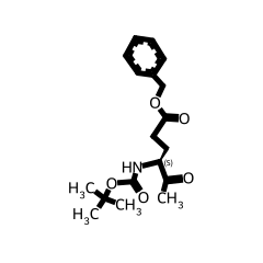 CC(=O)[C@H](CCC(=O)OCc1ccccc1)NC(=O)OC(C)(C)C